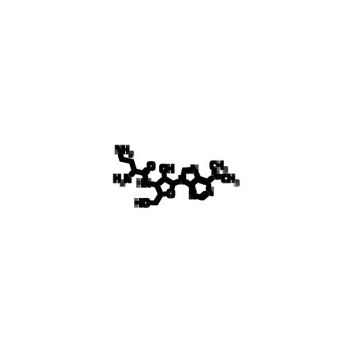 CN(C)c1ncnc2c1ncn2C1OC(CO)C(NC(=O)C(N)CCN)C1O